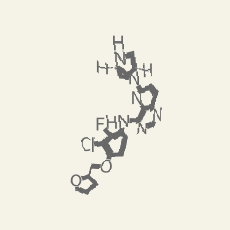 Fc1c(Nc2ncnc3ccc(N4C[C@@H]5C[C@H]4CN5)nc23)ccc(OC[C@H]2CCCO2)c1Cl